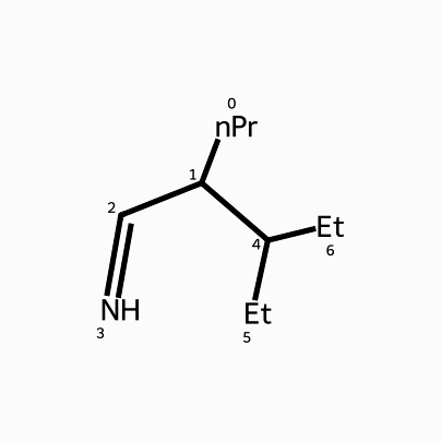 CCCC(C=N)C(CC)CC